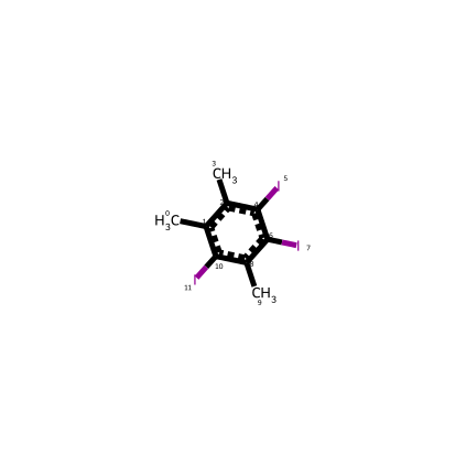 Cc1c(C)c(I)c(I)c(C)c1I